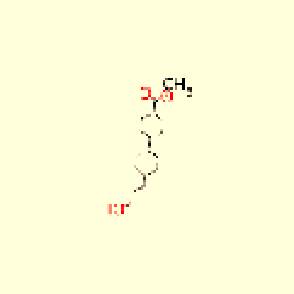 COC(=O)[C@H]1CC[C@H]([C@H]2CC[C@H](CCCO)CC2)CC1